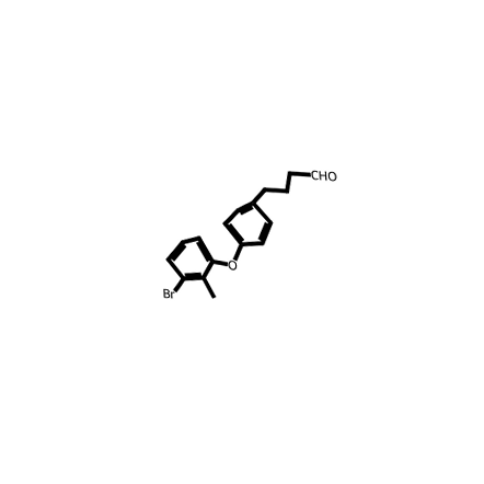 Cc1c(Br)cccc1Oc1ccc(CCCC=O)cc1